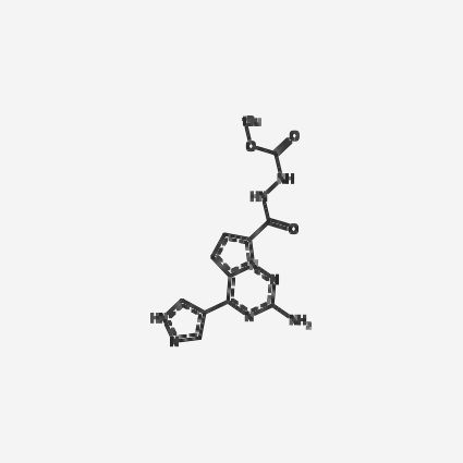 CC(C)(C)OC(=O)NNC(=O)c1ccc2c(-c3cn[nH]c3)nc(N)nn12